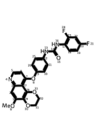 COc1cc2nccc(Oc3ccc(NC(=O)Nc4ccc(F)cc4F)cc3)c2c2c1OCCO2